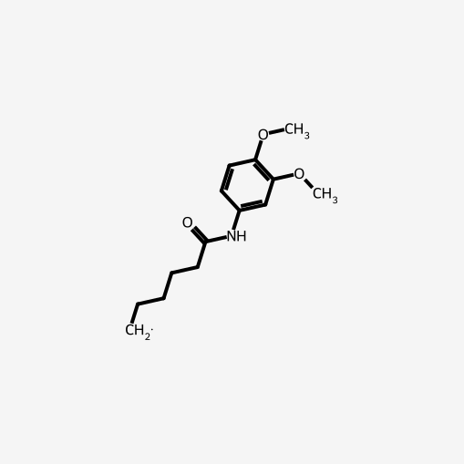 [CH2]CCCCC(=O)Nc1ccc(OC)c(OC)c1